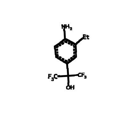 CCc1cc(C(O)(C(F)(F)F)C(F)(F)F)ccc1N